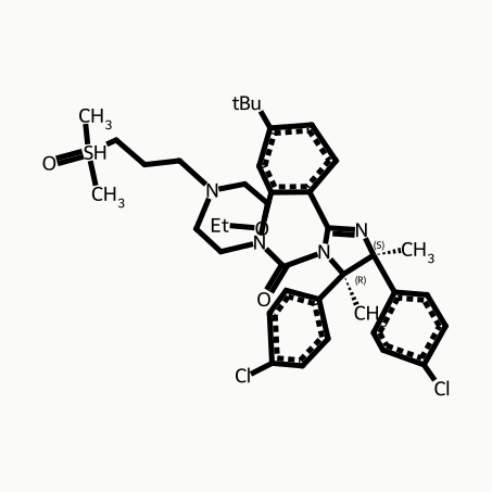 CCOc1cc(C(C)(C)C)ccc1C1=N[C@@](C)(c2ccc(Cl)cc2)[C@@](C)(c2ccc(Cl)cc2)N1C(=O)N1CCN(CCC[SH](C)(C)=O)CC1